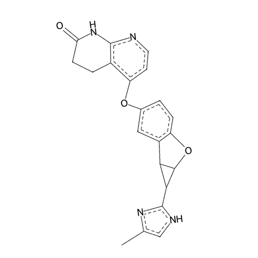 Cc1c[nH]c(C2C3Oc4ccc(Oc5ccnc6c5CCC(=O)N6)cc4C32)n1